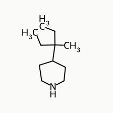 CCC(C)(CC)C1CCNCC1